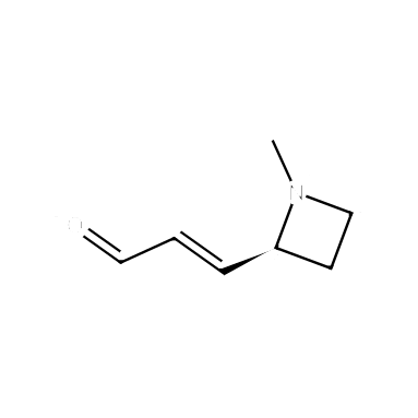 CN1CC[C@H]1C=CC=O